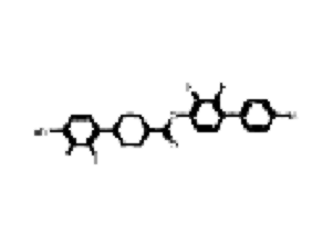 CCCc1ccc(C2CCC(C(=O)Oc3ccc(-c4ccc(CC)cc4)c(F)c3F)CC2)c(F)c1F